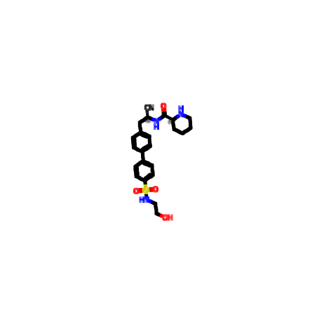 N#C[C@H](Cc1ccc(-c2ccc(S(=O)(=O)NCCO)cc2)cc1)NC(=O)[C@@H]1CCCCN1